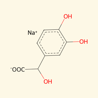 O=C([O-])C(O)c1ccc(O)c(O)c1.[Na+]